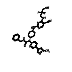 Cn1cc(-c2ccc(N(C(=O)NCc3ccccc3)[C@H]3CC[C@H](Nc4ncc(C#N)c(NCC(F)(F)CO)n4)CC3)nc2)cn1